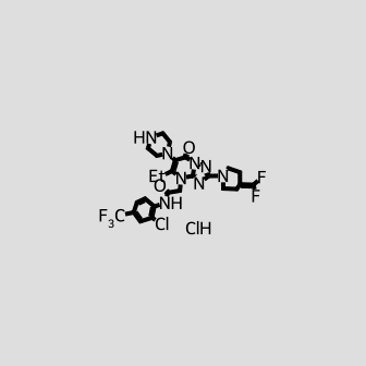 CCc1c(N2CCNCC2)c(=O)n2nc(N3CCC(=C(F)F)CC3)nc2n1CC(=O)Nc1ccc(C(F)(F)F)cc1Cl.Cl